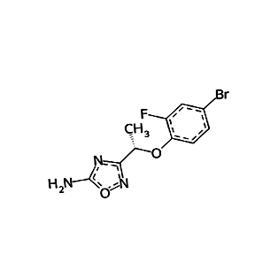 C[C@H](Oc1ccc(Br)cc1F)c1noc(N)n1